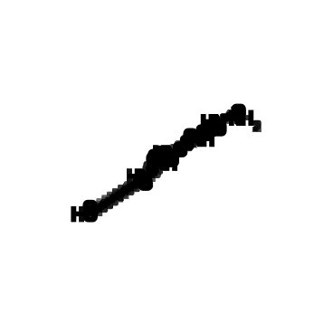 NC(C=O)CCCCNC(=O)COCCOCCNC(=O)COCCOCCNC(=O)CCC(NC(=O)C1CCC(CNC(=O)CCCCCCCCCCCCCCCCCCC(=O)O)CC1)C(=O)O